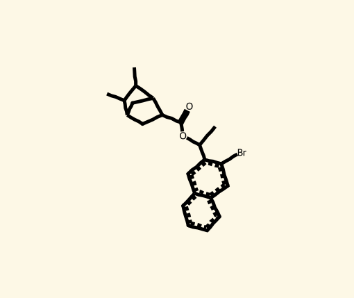 CC(OC(=O)C1CC2CC1C(C)C2C)c1cc2ccccc2cc1Br